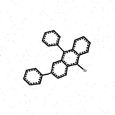 Brc1c2ccccc2c(-c2ccccc2)c2cc(-c3ccccc3)ccc12